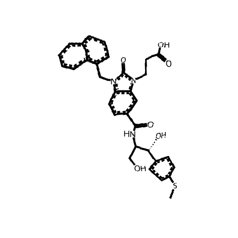 CSc1ccc([C@@H](O)C(CO)NC(=O)c2ccc3c(c2)n(CCC(=O)O)c(=O)n3Cc2cccc3ccccc23)cc1